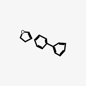 C1=COCC1.c1ccc(-c2ccccc2)cc1